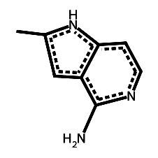 Cc1cc2c(N)nccc2[nH]1